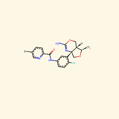 CCc1ccc(C(=O)Nc2ccc(F)c([C@]34CO[C@H](C(F)(F)F)[C@H]3COC(N)=N4)c2)nc1